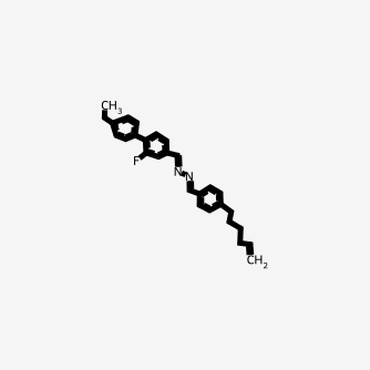 C=CCCCCc1ccc(C=NN=Cc2ccc(-c3ccc(CC)cc3)c(F)c2)cc1